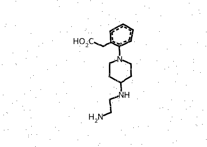 NCCNC1CCN(c2ccccc2CC(=O)O)CC1